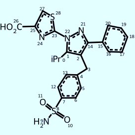 CC(C)c1c(Cc2ccc(S(N)(=O)=O)cc2)c(-c2ccccc2)nn1-c1nc(C(=O)O)cs1